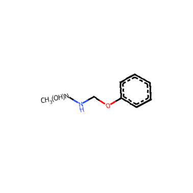 CN(O)NCOc1ccccc1